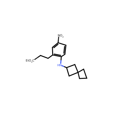 CCOC(=O)CCc1cc([N+](=O)[O-])ccc1NC1CC2(CCC2)C1